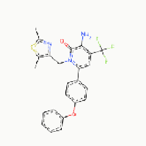 Cc1nc(Cn2c(-c3ccc(Oc4ccccc4)cc3)cc(C(F)(F)F)c(N)c2=O)c(C)s1